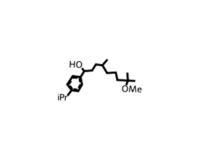 COC(C)(C)CCCC(C)CCC(O)c1ccc(C(C)C)cc1